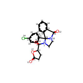 O=C1CCC(C(=O)N2CCN3C(=O)c4ccccc4C32c2ccc(Cl)cc2)O1